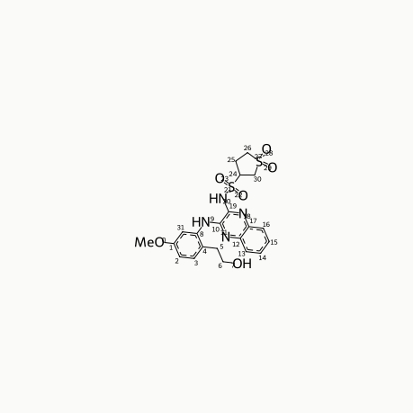 COc1ccc(CCO)c(Nc2nc3ccccc3nc2NS(=O)(=O)C2CCS(=O)(=O)C2)c1